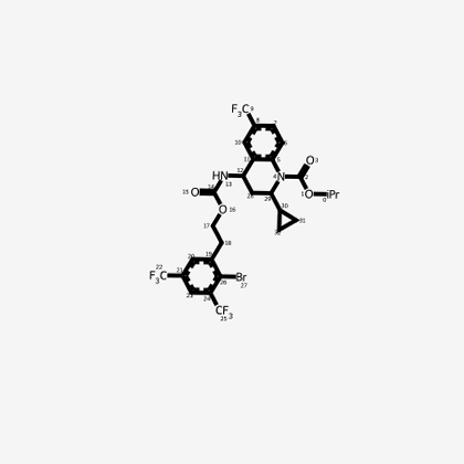 CC(C)OC(=O)N1c2ccc(C(F)(F)F)cc2C(NC(=O)OCCc2cc(C(F)(F)F)cc(C(F)(F)F)c2Br)CC1C1CC1